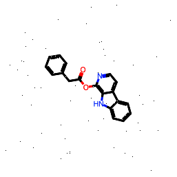 O=C(Cc1ccccc1)Oc1nccc2c1[nH]c1ccccc12